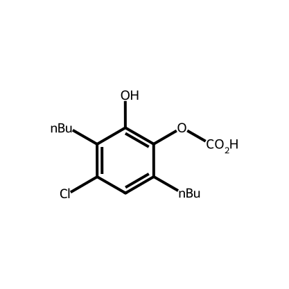 CCCCc1cc(Cl)c(CCCC)c(O)c1OC(=O)O